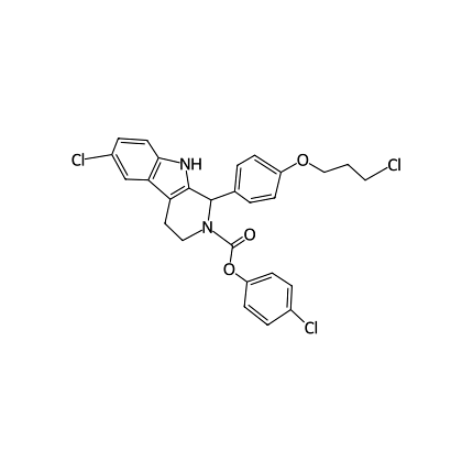 O=C(Oc1ccc(Cl)cc1)N1CCc2c([nH]c3ccc(Cl)cc23)C1c1ccc(OCCCCl)cc1